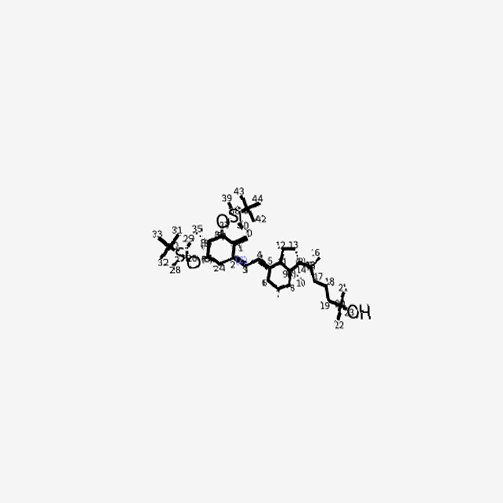 C=C1/C(=C\C=C2CCC[C@@]3(C)C2CC[C@@H]3[C@@H](C)CCCC(C)(C)O)C[C@H](O[Si](C)(C)C(C)(C)C)[C@H](C)[C@@H]1O[Si](C)(C)C(C)(C)C